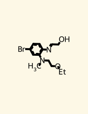 CCOCCN(C)c1cc(Br)ccc1/N=C/CO